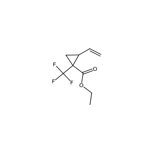 C=CC1CC1(C(=O)OCC)C(F)(F)F